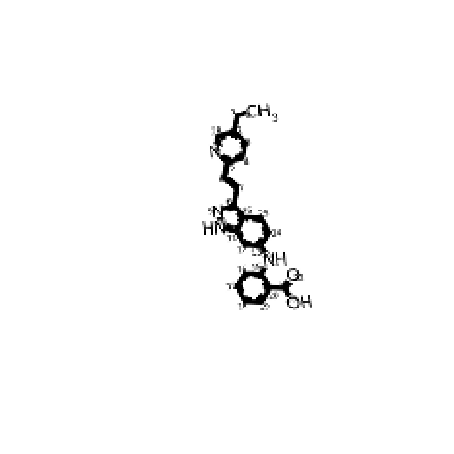 CCc1ccc(C=Cc2n[nH]c3cc(Nc4ccccc4C(=O)O)ccc23)nc1